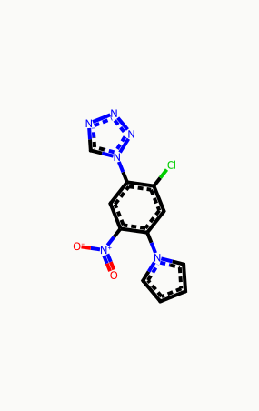 O=[N+]([O-])c1cc(-n2cnnn2)c(Cl)cc1-n1cccc1